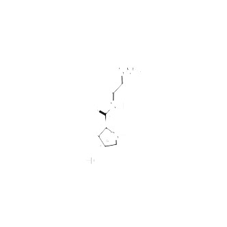 CNCCNC(=O)[C@@H]1C[C@@H](O)CN1